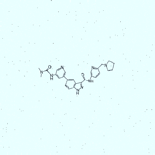 CN(C)C(=O)Nc1cncc(-c2ccc3[nH]nc(C(=O)Nc4ccc(CN5CCCC5)nc4)c3c2)c1